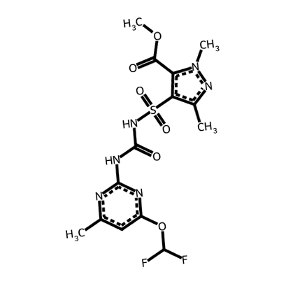 COC(=O)c1c(S(=O)(=O)NC(=O)Nc2nc(C)cc(OC(F)F)n2)c(C)nn1C